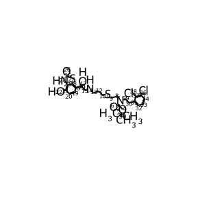 CC(C)(C)OC(=O)N(CCSCCCNC[C@H](O)c1ccc(O)c2[nH]c(=O)sc12)CCc1cccc(Cl)c1Cl